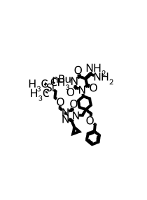 CCCCN1C(=O)C(=C(N)N)C(=O)N(C2CCC(COCc3ccccc3)(Cn3c(C4CC4)nn(COCC[Si](C)(C)C)c3=O)CC2)C1=O